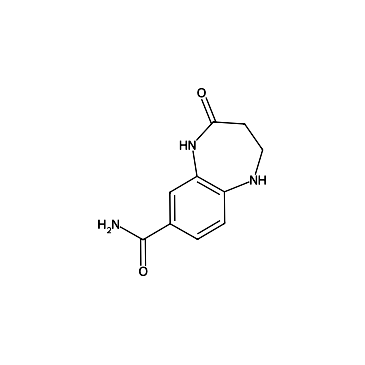 NC(=O)c1ccc2c(c1)NC(=O)CCN2